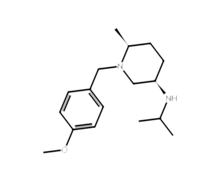 COc1ccc(CN2C[C@H](NC(C)C)CC[C@@H]2C)cc1